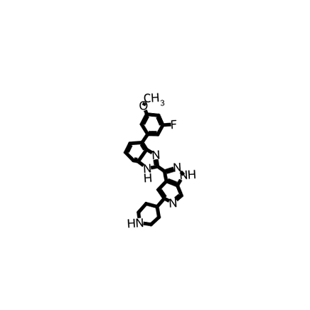 COc1cc(F)cc(-c2cccc3[nH]c(-c4n[nH]c5cnc(C6CCNCC6)cc45)nc23)c1